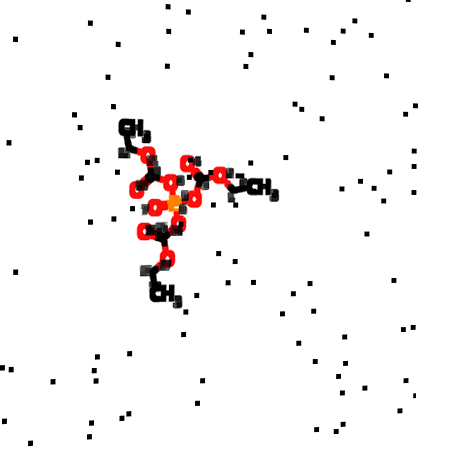 CCOC(=O)OP(=O)(OC(=O)OCC)OC(=O)OCC